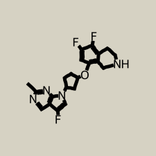 Cc1ncc2c(F)cn(C3CCC(Oc4cc(F)c(F)c5c4CNCC5)C3)c2n1